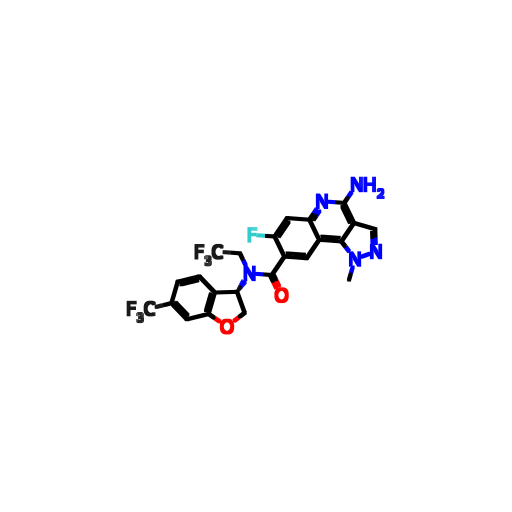 Cn1ncc2c(N)nc3cc(F)c(C(=O)N(CC(F)(F)F)[C@H]4COc5cc(C(F)(F)F)ccc54)cc3c21